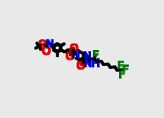 Cc1cc(N(C)C(=O)OC(C)(C)C)cc(C)c1CCS(=O)(=O)N1CCC2(CC1)N=C(C(F)CCCCCCCC(F)(F)F)NC2=O